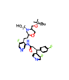 CC(C)(C)[Si](C)(C)OCC1COC(CCc2c(F)cncc2NC(=O)CC(c2ccc(F)cc2)c2ccncc2F)CN1C(=O)O